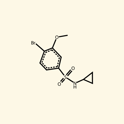 COc1cc(S(=O)(=O)NC2CC2)ccc1Br